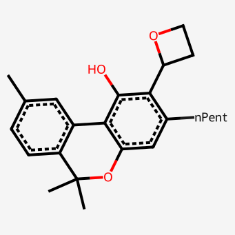 CCCCCc1cc2c(c(O)c1C1CCO1)-c1cc(C)ccc1C(C)(C)O2